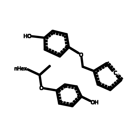 CCCCCCC(C)Oc1ccc(O)cc1.Oc1ccc(OCc2ccccc2)cc1